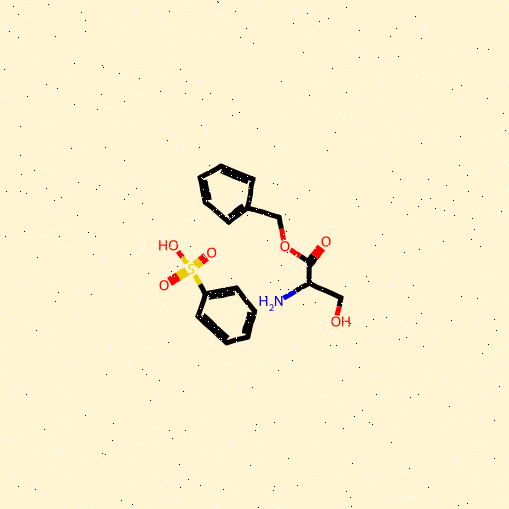 NC(CO)C(=O)OCc1ccccc1.O=S(=O)(O)c1ccccc1